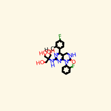 Cc1cc(F)ccc1-c1nc(NC(CO)(CO)CO)nc2c1CNC(=O)N2c1ccccc1F